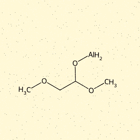 COCC(OC)[O][AlH2]